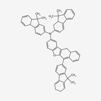 CC1(C)C2=CCCC=C2c2ccc(C3=C4C=CC=CC4Cc4c3oc3ccc(N(C5=CC=C6c7ccccc7C(C)(C)C6C5)c5ccc6c(c5)C(C)(C)C5C=CC=CC65)cc43)cc21